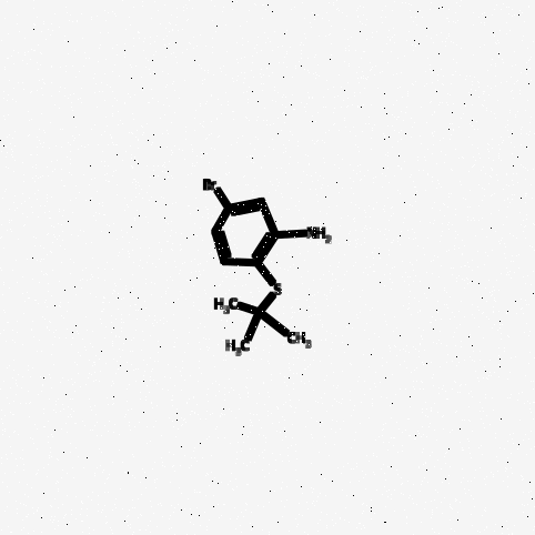 CC(C)(C)Sc1ccc(Br)cc1N